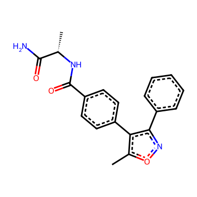 Cc1onc(-c2ccccc2)c1-c1ccc(C(=O)N[C@@H](C)C(N)=O)cc1